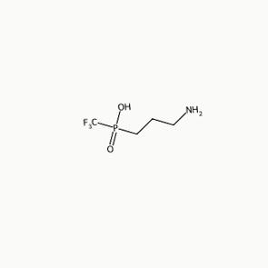 NCCCP(=O)(O)C(F)(F)F